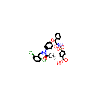 CC(=O)N(Cc1c(Cl)cccc1Cl)c1ccc(OC(C(=O)NS(=O)(=O)c2ccc(C(=O)O)cc2)c2ccccc2)cc1